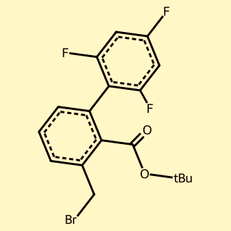 CC(C)(C)OC(=O)c1c(CBr)cccc1-c1c(F)cc(F)cc1F